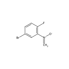 C=[N+]([O-])c1cc(Br)ccc1F